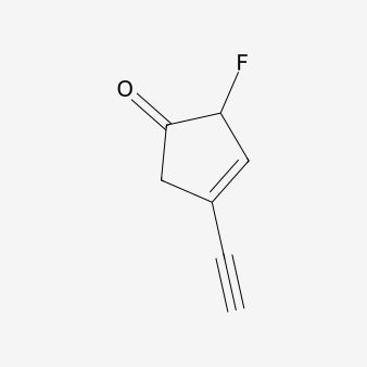 C#CC1=CC(F)C(=O)C1